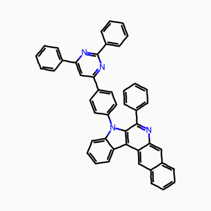 c1ccc(-c2cc(-c3ccc(-n4c5ccccc5c5c6cc7ccccc7cc6nc(-c6ccccc6)c54)cc3)nc(-c3ccccc3)n2)cc1